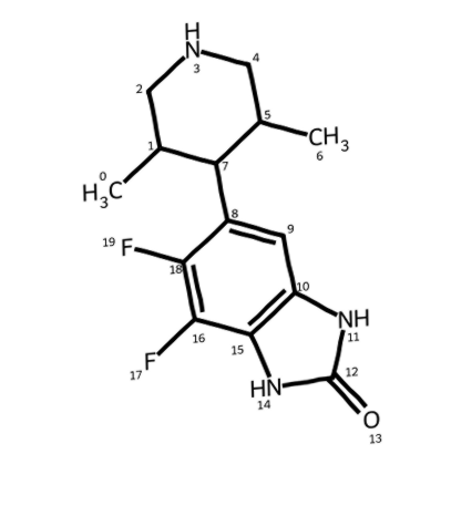 CC1CNCC(C)C1c1cc2[nH]c(=O)[nH]c2c(F)c1F